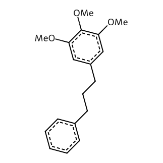 COc1cc(CCCc2ccccc2)cc(OC)c1OC